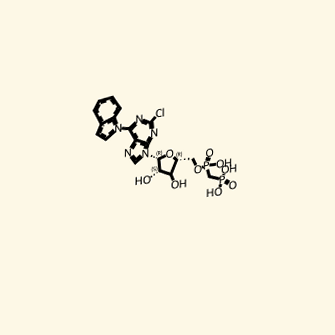 O=P(O)(O)CP(=O)(O)OC[C@H]1O[C@@H](n2cnc3c(-n4ccc5ccccc54)nc(Cl)nc32)[C@@H](O)C1O